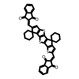 O=C1C(=CC2=Cc3sc4c5c(sc4c3C23CCCCC3)-c2sc(C=C3C(=O)c4ccccc4C3=O)cc2C52CCCCC2)C(=O)c2ccccc21